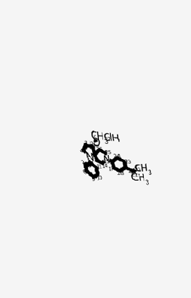 CO[C@H]1CCN(c2ccccc2)C12CCN(C1CCC(C(C)C)CC1)CC2.Cl